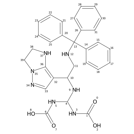 O=C(O)NC(NC(=O)O)NC(CNC(c1ccccc1)(c1ccccc1)c1ccccc1)c1cnn2c1NCC2